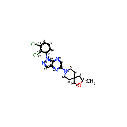 C[C@H]1CC2(CCN(c3cnc4c(cnn4-c4cccc(Cl)c4Cl)n3)CC2)CO1